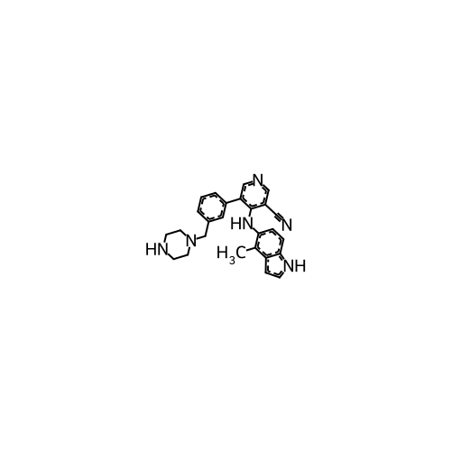 Cc1c(Nc2c(C#N)cncc2-c2cccc(CN3CCNCC3)c2)ccc2[nH]ccc12